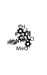 COc1ccc2c(Cl)c(-c3nncc(-c4cc(C)cc(F)c4)c3N3CCC(N)CC3)[nH]c2c1.Cl.Cl